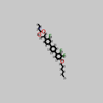 C/C=C/C1OCC(c2ccc(-c3ccc(-c4ccc(OCCCCCC)c(F)c4F)cc3)cc2F)CO1